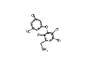 N#Cc1cc(Cl)cc(Oc2c(F)c(CN)cc(Br)c2Cl)c1